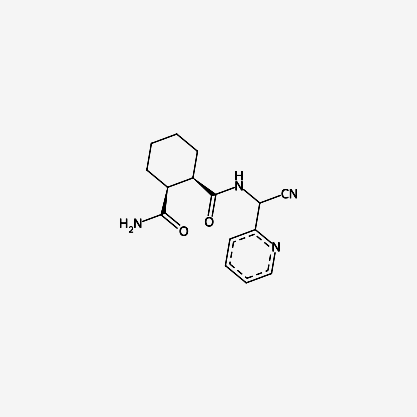 N#CC(NC(=O)[C@@H]1CCCC[C@@H]1C(N)=O)c1ccccn1